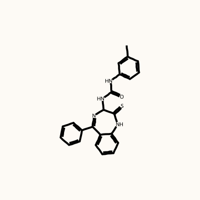 Cc1cccc(NC(=O)NC2N=C(c3ccccc3)c3ccccc3NC2=S)c1